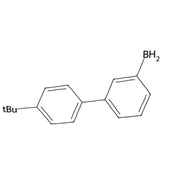 Bc1cccc(-c2ccc(C(C)(C)C)cc2)c1